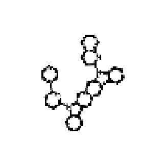 c1ccc(-c2cccc(-n3c4ccccc4c4cc5cc6c7ccccc7n(-c7ccc8ccccc8n7)c6cc5cc43)n2)cc1